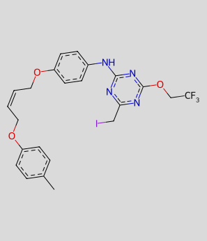 Cc1ccc(OC/C=C\COc2ccc(Nc3nc(CI)nc(OCC(F)(F)F)n3)cc2)cc1